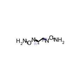 NO/N=C/C=N/ON